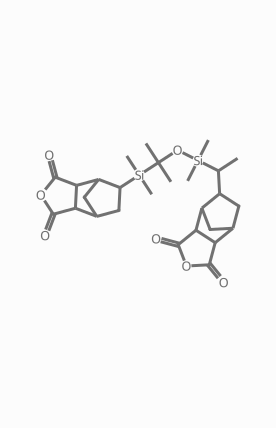 CC(C1CC2CC1C1C(=O)OC(=O)C21)[Si](C)(C)OC(C)(C)[Si](C)(C)C1CC2CC1C1C(=O)OC(=O)C21